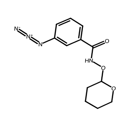 [N-]=[N+]=Nc1cccc(C(=O)NOC2CCCCO2)c1